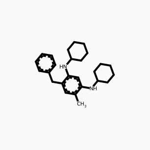 Cc1cc(Cc2ccccc2)c(NC2CCCCC2)cc1NC1CCCCC1